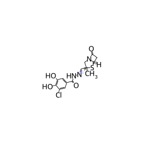 C[C@]1(/C=N/NC(=O)c2cc(O)c(O)c(Cl)c2)CN2C(=O)C[C@H]2S1